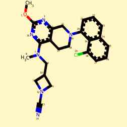 COc1nc2c(c(N(C)CC3CN(C#N)C3)n1)CCN(c1cccc3cccc(Cl)c13)C2